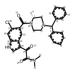 C[C@@H]1CN(C(c2ccccc2)c2ccccc2)CCN1C(=O)c1cc2c(C(=O)C(=O)N(C)C)c[nH]c2cc1Cl